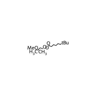 COC(C)(C)CCOOC(=O)CCCCCC(C)(C)C